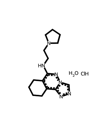 Cl.O.c1nnc2c3c(c(NCCN4CCCC4)nn12)CCCC3